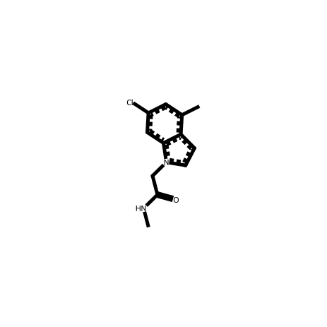 CNC(=O)Cn1ccc2c(C)cc(Cl)cc21